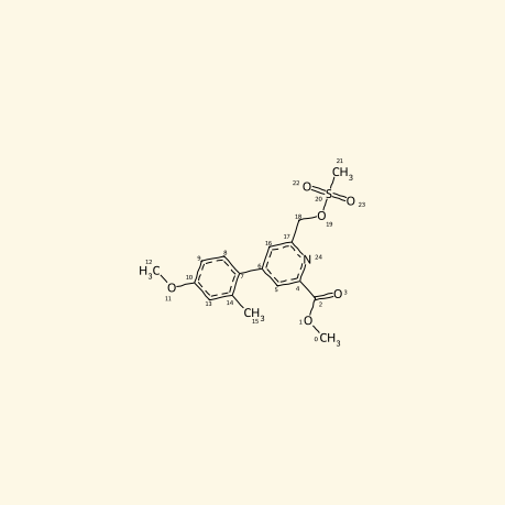 COC(=O)c1cc(-c2ccc(OC)cc2C)cc(COS(C)(=O)=O)n1